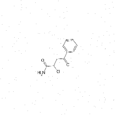 NC(=O)C(Cl)CC(=O)c1ccccc1